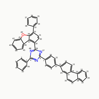 c1ccc(-c2nc(-c3ccc(-c4ccc5c(ccc6ccccc65)c4)cc3)nc(-c3ccc(-c4ccccc4)c4oc5ccccc5c34)n2)cc1